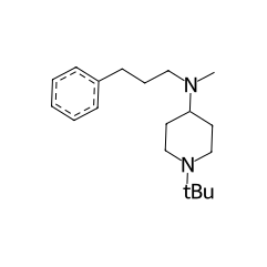 CN(CCCc1ccccc1)C1CCN(C(C)(C)C)CC1